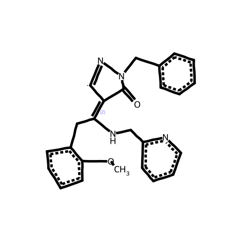 COc1ccccc1C/C(NCc1ccccn1)=C1\[C]=NN(Cc2ccccc2)C1=O